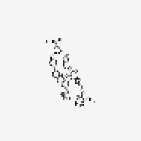 C=C(C)C(=O)OCCn1cc[n+](Cc2cc(C[n+]3ccc(-c4cc[n+](Cc5cc(C[n+]6ccn(CCOC(=O)C(=C)C)c6)cc(B(O)O)c5)cc4)cc3)cc(OBO)c2)c1